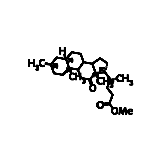 COC(=O)CC[C@@H](C)[C@H]1CCC2C3CC[C@@H]4C[C@H](C)CC[C@]4(C)C3CC(=O)[C@@]21C